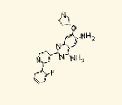 CN1CCC(Oc2cc3nc(-c4ccnc(-c5ccccc5F)c4)nc(N)c3cc2N)C1